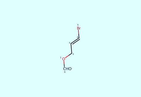 O=[C]OC/C=C/Br